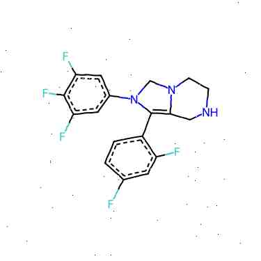 Fc1ccc(C2=C3CNCCN3CN2c2cc(F)c(F)c(F)c2)c(F)c1